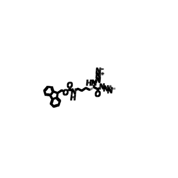 [N-]=[N+]=NN[C@@H](CCCCNC(=O)OCC1c2ccccc2-c2ccccc21)C(=O)N=[N+]=[N-]